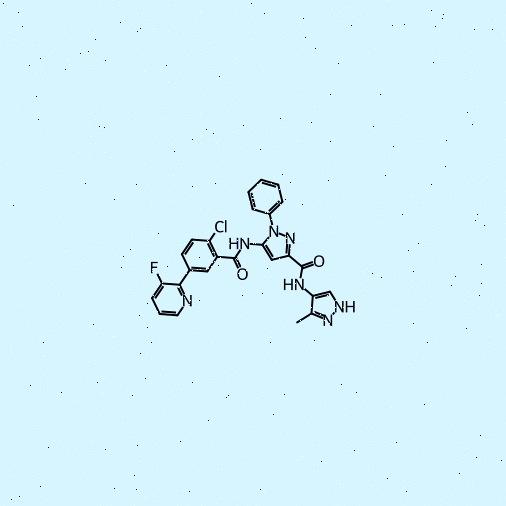 Cc1n[nH]cc1NC(=O)c1cc(NC(=O)c2cc(-c3ncccc3F)ccc2Cl)n(-c2ccccc2)n1